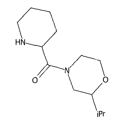 CC(C)C1CN(C(=O)C2CCCCN2)CCO1